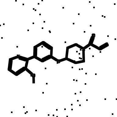 C=CC(=O)N1CCC(Oc2cccc(-c3ncccc3OC)c2)CC1